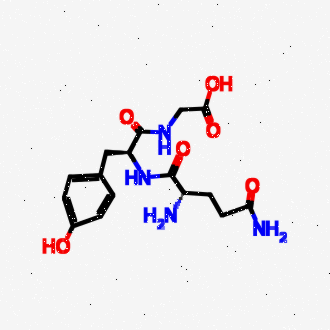 NC(=O)CC[C@H](N)C(=O)N[C@@H](Cc1ccc(O)cc1)C(=O)NCC(=O)O